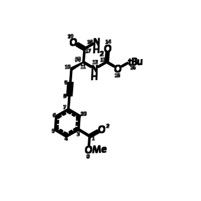 COC(=O)c1cccc(C#CC[C@H](NC(=O)OC(C)(C)C)C(N)=O)c1